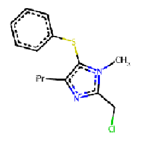 CC(C)c1nc(CCl)n(C)c1Sc1ccccc1